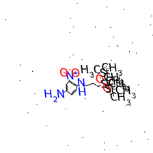 C[Si](C)(C)O[Si](C)(CCCNc1ccc(N)cc1[N+](=O)[O-])O[Si](C)(C)C